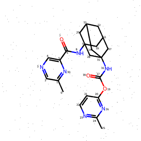 Cc1cncc(C(=O)NC23CC4CC(CC(NC(=O)Oc5ccnc(C)n5)(C4)C2)C3)n1